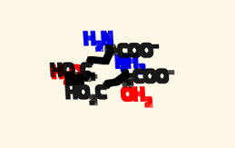 N[C@@H](CCC(=O)O)C(=O)[O-].N[C@@H](CCC(=O)O)C(=O)[O-].O.O.[Ba+2]